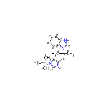 CC(C)(C)n1cnc(CC(C)(C)n2cnc3ccccc32)c1